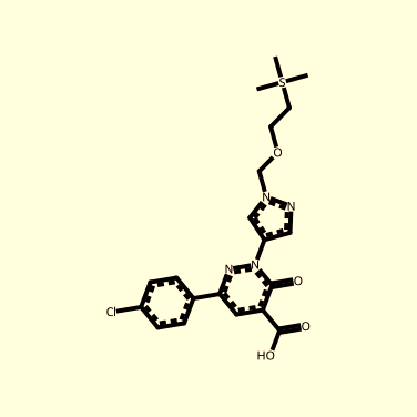 CS(C)(C)CCOCn1cc(-n2nc(-c3ccc(Cl)cc3)cc(C(=O)O)c2=O)cn1